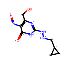 O=Nc1c(CO)nc(NNCC2CC2)[nH]c1=O